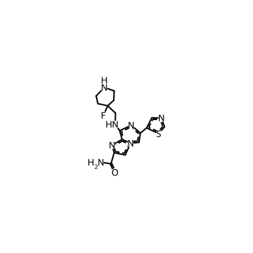 NC(=O)c1cn2cc(-c3cncs3)nc(NCC3(F)CCNCC3)c2n1